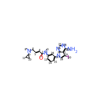 CN(C(=O)C=CCN(C)C1CC1)c1cccc(-n2cc(I)c3c(N)ncnc32)c1